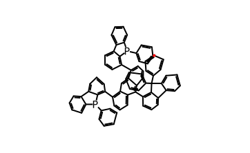 c1ccc(-p2c3ccccc3c3cccc(-c4cccc5c(-c6cccc7c6C(c6ccccc6)(c6ccccc6)c6ccccc6-7)c6cccc(-c7cccc8c9ccccc9p(-c9ccccc9)c78)c6cc45)c32)cc1